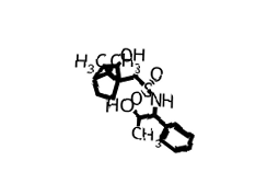 CC(O)C(NS(=O)(=O)CC12CCC(CC1O)C2(C)C)c1ccccc1